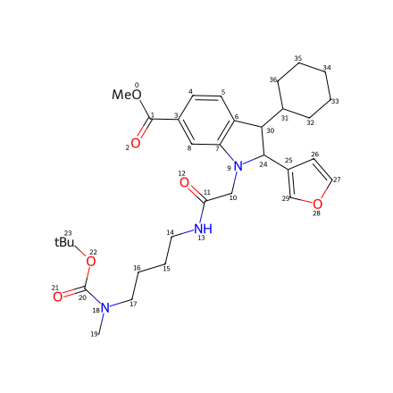 COC(=O)c1ccc2c(c1)N(CC(=O)NCCCCN(C)C(=O)OC(C)(C)C)C(c1ccoc1)C2C1CCCCC1